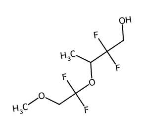 COCC(F)(F)OC(C)C(F)(F)CO